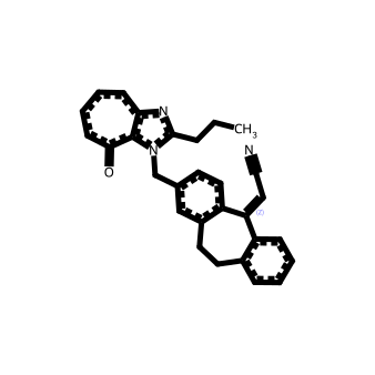 CCCc1nc2ccccc(=O)c2n1Cc1ccc2c(c1)CCc1ccccc1/C2=C/C#N